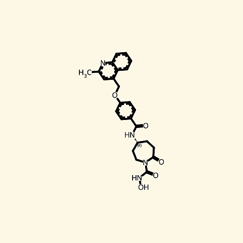 Cc1cc(COc2ccc(C(=O)N[C@@H]3CCC(=O)N(C(=O)NO)CC3)cc2)c2ccccc2n1